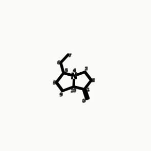 C=C1CCN2C(CC)CCC12